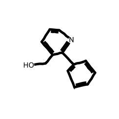 OCc1cccnc1-c1c[c]ccc1